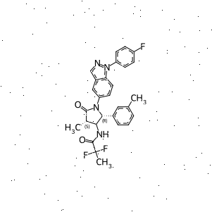 Cc1cccc([C@@H]2C(NC(=O)C(C)(F)F)[C@H](C)C(=O)N2c2ccc3c(cnn3-c3ccc(F)cc3)c2)c1